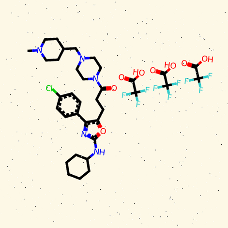 CN1CCC(CN2CCN(C(=O)CCc3oc(NC4CCCCC4)nc3-c3ccc(Cl)cc3)CC2)CC1.O=C(O)C(F)(F)F.O=C(O)C(F)(F)F.O=C(O)C(F)(F)F